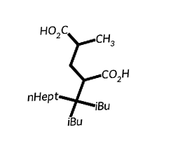 CCCCCCCC(C(C)CC)(C(C)CC)C(CC(C)C(=O)O)C(=O)O